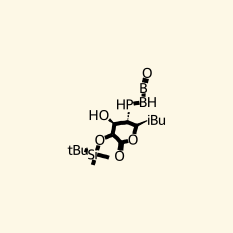 CC[C@H](C)C1OC(=O)C(O[Si](C)(C)C(C)(C)C)[C@@H](O)[C@@H]1PBB=O